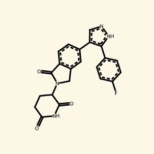 O=C1CCC(N2Cc3cc(-c4cn[nH]c4-c4ccc(F)cc4)ccc3C2=O)C(=O)N1